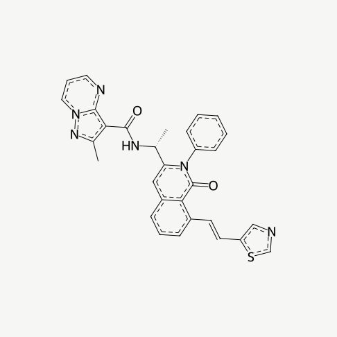 Cc1nn2cccnc2c1C(=O)N[C@H](C)c1cc2cccc(/C=C/c3cncs3)c2c(=O)n1-c1ccccc1